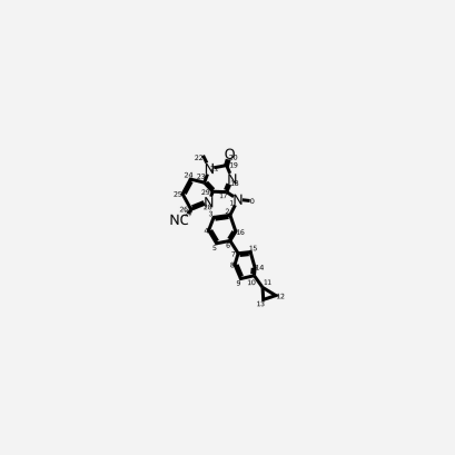 CN(c1cccc(-c2ccc(C3CC3)cc2)c1)c1nc(=O)n(C)c2ccc(C#N)nc12